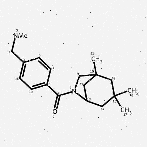 CNCc1ccc(C(=O)N2CC3(C)CC2CC(C)(C)C3)cc1